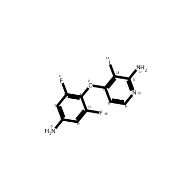 Nc1cc(F)c(Oc2ccnc(N)c2I)c(F)c1